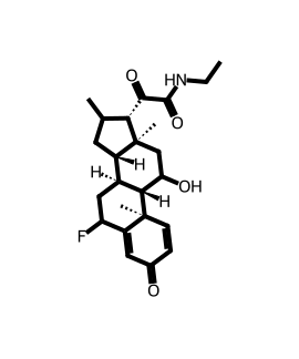 CCNC(=O)C(=O)[C@H]1C(C)C[C@H]2[C@@H]3CC(F)C4=CC(=O)C=C[C@]4(C)[C@H]3C(O)C[C@]12C